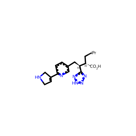 CC(C)C[C@H](C(=O)O)[C@H](Cc1ccc(C2=CCNC2)nc1)c1nn[nH]n1